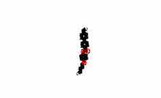 CCCCCOc1ccc(OC(=O)C2CCC(C3CCC(CC)CC3)CC2)cc1